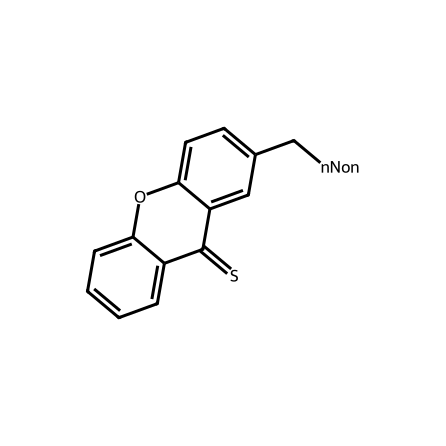 CCCCCCCCCCc1ccc2oc3ccccc3c(=S)c2c1